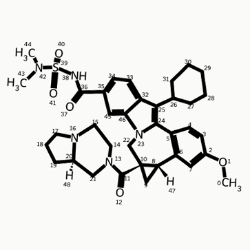 COc1ccc2c(c1)[C@@H]1C[C@]1(C(=O)N1CCN3CCC[C@@H]3C1)Cn1c-2c(C2CCCCC2)c2ccc(C(=O)NS(=O)(=O)N(C)C)cc21